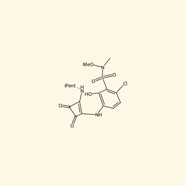 CCC[C@@H](C)Nc1c(Nc2ccc(Cl)c(S(=O)(=O)N(C)OC)c2O)c(=O)c1=O